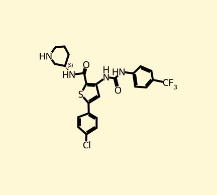 O=C(Nc1ccc(C(F)(F)F)cc1)Nc1cc(-c2ccc(Cl)cc2)sc1C(=O)N[C@H]1CCCNC1